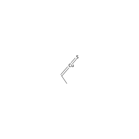 C[CH]=[Cu]=[S]